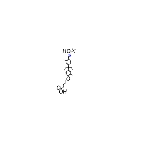 CCC(CC)(c1ccc(/C=C/C(O)C(C)(C)C)c(C)c1)c1ccc(OCCCCC(=O)O)c(C)c1